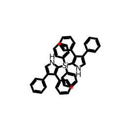 c1ccc(-c2c[nH]c([Si](c3ccccc3)(c3ccccc3)c3[nH]cc(-c4ccccc4)c3-c3ccccc3)c2-c2ccccc2)cc1